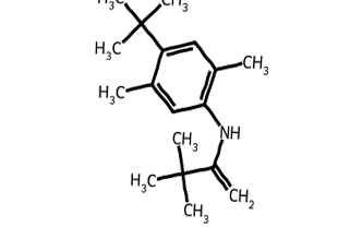 C=C(Nc1cc(C)c(C(C)(C)C)cc1C)C(C)(C)C